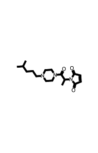 CC(C)CCCN1CCN(C(=O)C(C)N2C(=O)C=CC2=O)CC1